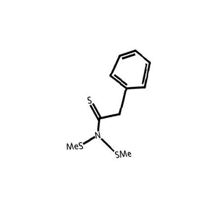 CSN(SC)C(=S)Cc1ccccc1